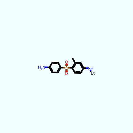 CCNc1ccc(S(=O)(=O)c2ccc(N)cc2)c(C)c1